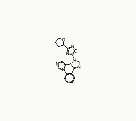 c1ccc2c(c1)C1=NCN(c3nc(C4CCCO4)no3)N1c1cncn1-2